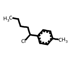 CCCCC(Cl)c1ccc(C)cc1